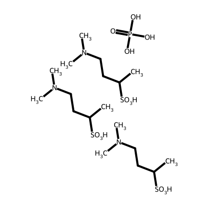 CC(CCN(C)C)S(=O)(=O)O.CC(CCN(C)C)S(=O)(=O)O.CC(CCN(C)C)S(=O)(=O)O.O=P(O)(O)O